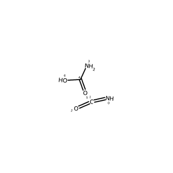 N=C=O.NC(=O)O